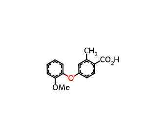 COc1ccccc1Oc1ccc(C(=O)O)c(C)c1